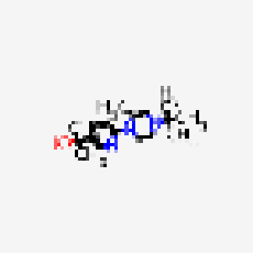 CC1CN(C(C)(C)C)CCN1c1ccc(C(C)(C)O)cn1